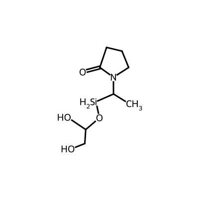 CC([SiH2]OC(O)CO)N1CCCC1=O